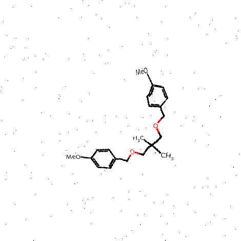 COc1ccc(COCC(C)(C)COCc2ccc(OC)cc2)cc1